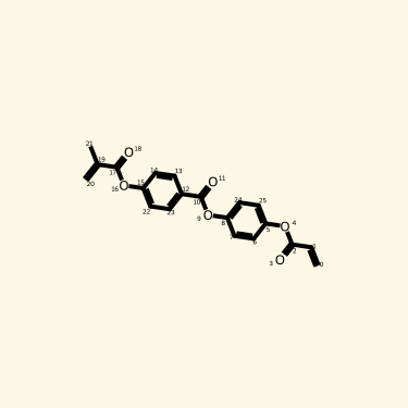 C=CC(=O)Oc1ccc(OC(=O)c2ccc(OC(=O)C(=C)C)cc2)cc1